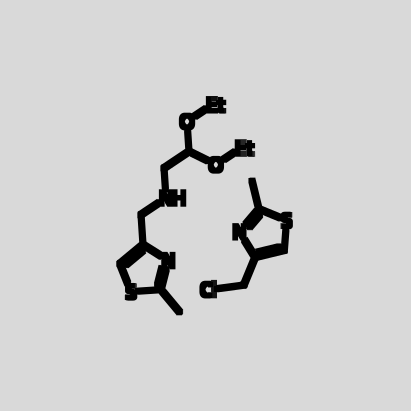 CCOC(CNCc1csc(C)n1)OCC.Cc1nc(CCl)cs1